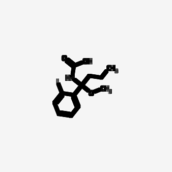 CCCC(NC(=O)O)(OC)c1ccccc1I